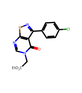 CCOC(=O)Cn1cnc2snc(-c3ccc(Cl)cc3)c2c1=O